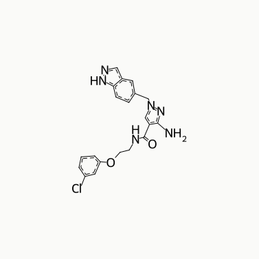 Nc1nn(Cc2ccc3[nH]ncc3c2)cc1C(=O)NCCOc1cccc(Cl)c1